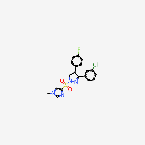 Cn1cnc(S(=O)(=O)N2CC(c3ccc(F)cc3)C(c3cccc(Cl)c3)=N2)c1